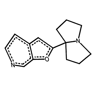 c1cc2cc(C34CCCN3CCC4)oc2cn1